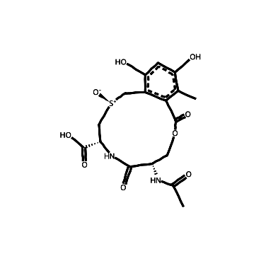 CC(=O)N[C@H]1COC(=O)c2c(C)c(O)cc(O)c2C[S@+]([O-])C[C@@H](C(=O)O)NC1=O